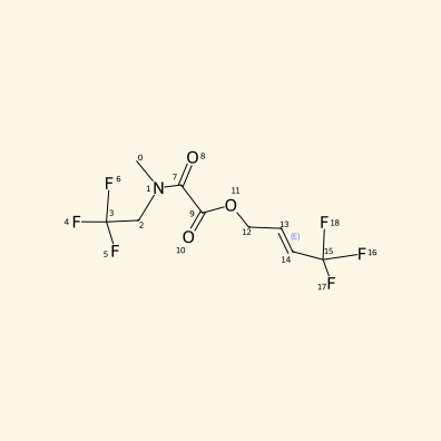 CN(CC(F)(F)F)C(=O)C(=O)OC/C=C/C(F)(F)F